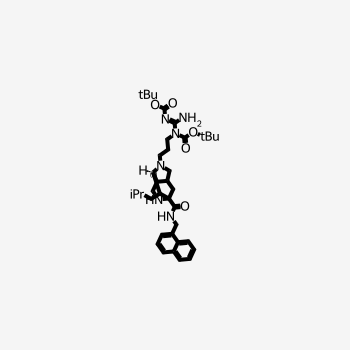 CC(C)CC1[C@@H]2C3CNC1(C(=O)NCc1cccc4ccccc14)CC3CN2CCCN(C(=O)OC(C)(C)C)C(N)=NC(=O)OC(C)(C)C